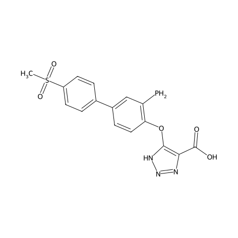 CS(=O)(=O)c1ccc(-c2ccc(Oc3[nH]nnc3C(=O)O)c(P)c2)cc1